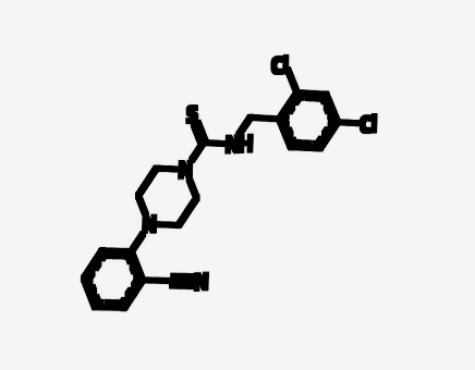 N#Cc1ccccc1N1CCN(C(=S)NCc2ccc(Cl)cc2Cl)CC1